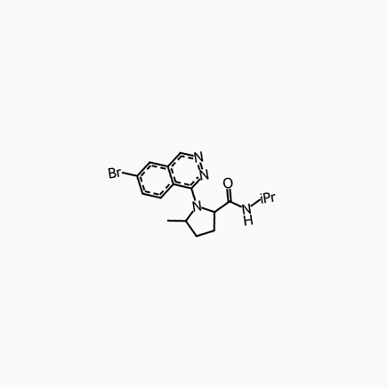 CC(C)NC(=O)C1CCC(C)N1c1nncc2cc(Br)ccc12